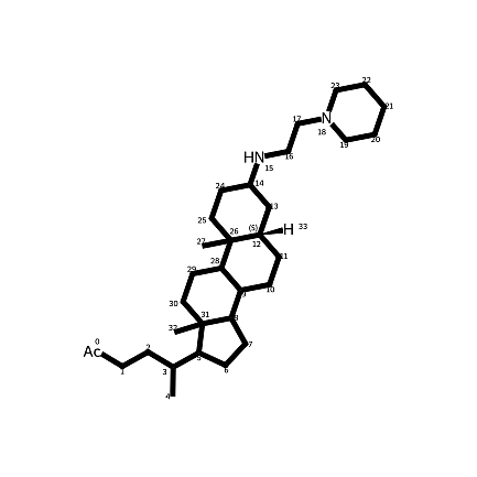 CC(=O)CCC(C)C1CCC2C3CC[C@H]4CC(NCCN5CCCCC5)CCC4(C)C3CCC12C